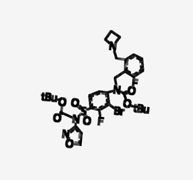 CC(C)(C)OC(=O)N(Cc1c(F)cccc1CN1CCC1)c1ccc(S(=O)(=O)N(C(=O)OC(C)(C)C)c2ccon2)c(F)c1Br